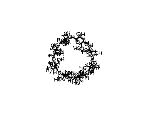 NC1[C@@H]2OC(CO)[C@@H](O[C@H]3OC(CO)[C@@H](O[C@H]4OC(CO)[C@@H](O[C@H]5OC(CO)[C@H](CC5O)O[C@H]5OC(CO)[C@@H](O[C@H]6OC(CO)[C@@H](O[C@H]7OC(CO)[C@@H](O[C@H]8OC(CO)[C@@H](O2)[C@H](O)C8O)[C@H](O)C7O)[C@H](O)C6O)[C@H](O)C5O)[C@H](O)C4O)[C@H](O)C3O)[C@@H]1O